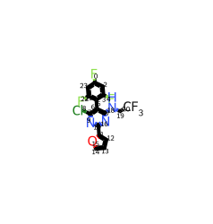 Fc1cc(F)c(-c2c(Cl)nc(-c3ccco3)nc2NCC(F)(F)F)c(F)c1